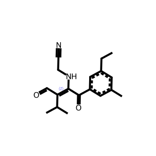 CCc1cc(C)cc(C(=O)/C(NCC#N)=C(/C=O)C(C)C)c1